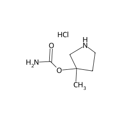 CC1(OC(N)=O)CCNC1.Cl